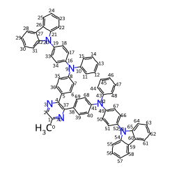 Cc1cnc(-c2ccc(N(c3ccccc3)c3ccc(-n4c5ccccc5c5ccccc54)cc3)cc2)c(-c2ccc(N(c3ccccc3)c3ccc(-n4c5ccccc5c5ccccc54)cc3)cc2)n1